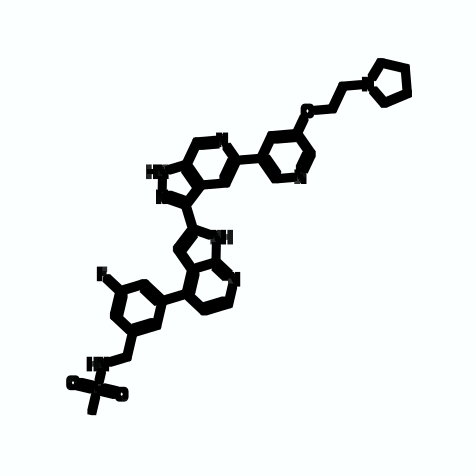 CS(=O)(=O)NCc1cc(F)cc(-c2ccnc3[nH]c(-c4n[nH]c5cnc(-c6cncc(OCCN7CCCC7)c6)cc45)cc23)c1